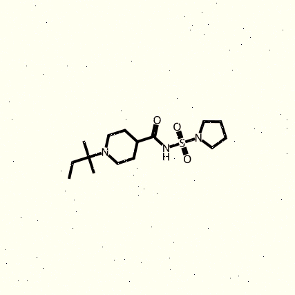 CCC(C)(C)N1CCC(C(=O)NS(=O)(=O)N2CCCC2)CC1